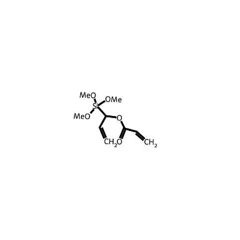 C=CC(=O)OC(C=C)[Si](OC)(OC)OC